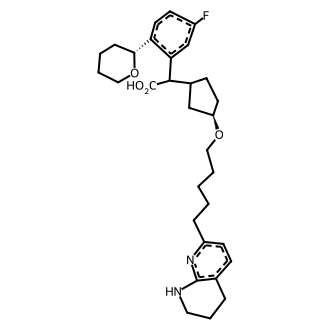 O=C(O)C(c1cc(F)ccc1[C@H]1CCCCO1)C1CC[C@@H](OCCCCCc2ccc3c(n2)NCCC3)C1